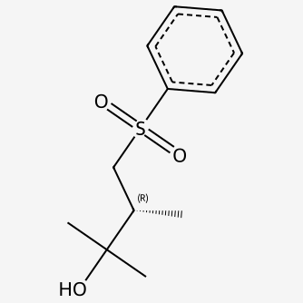 C[C@@H](CS(=O)(=O)c1ccccc1)C(C)(C)O